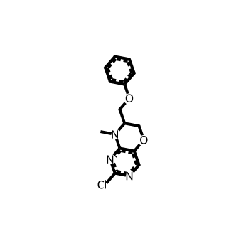 CN1c2nc(Cl)ncc2OCC1COc1ccccc1